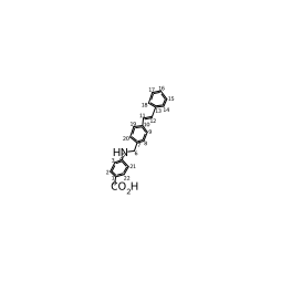 O=C(O)c1ccc(NCc2ccc(/C=C/c3ccccc3)cc2)cc1